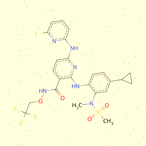 CN(c1cc(C2CC2)ccc1Nc1nc(Nc2cccc(F)n2)ccc1C(=O)NOCC(F)(F)F)S(C)(=O)=O